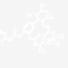 CCC(C)OC(=O)Oc1ccc(C(C(C)COC(=O)OC(C)(C)C)[C@H](N)C(=O)O)cc1OC(=O)OC(C)CC